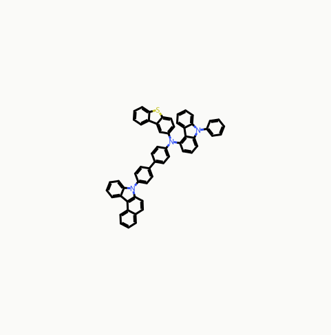 c1ccc(-n2c3ccccc3c3c(N(c4ccc(-c5ccc(-n6c7ccccc7c7c8ccccc8ccc76)cc5)cc4)c4ccc5sc6ccccc6c5c4)cccc32)cc1